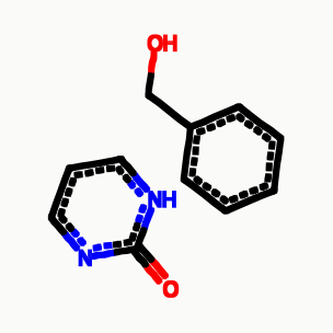 O=c1nccc[nH]1.OCc1ccccc1